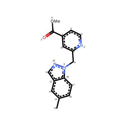 COC(=O)c1ccnc(Cn2ncc3cc(C)ccc32)c1